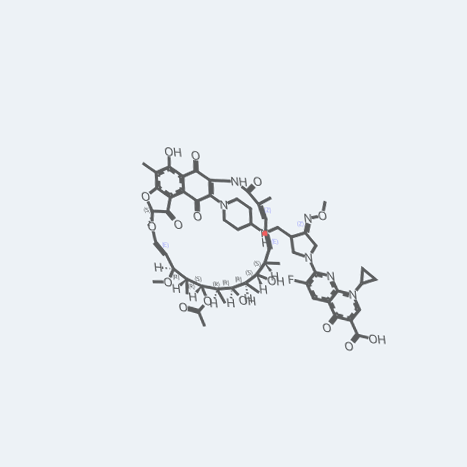 CO/N=C1\CN(c2nc3c(cc2F)c(=O)c(C(=O)O)cn3C2CC2)CC1CNC1CCN(C2=C3NC(=O)/C(C)=C\C=C\[C@H](C)[C@H](O)[C@@H](C)[C@@H](O)[C@@H](C)[C@H](OC(C)=O)[C@H](C)[C@@H](OC)/C=C/O[C@@]4(C)Oc5c(C)c(O)c(c(c5C4=O)C2=O)C3=O)CC1